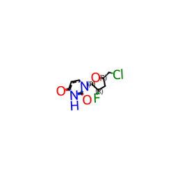 O=c1ccn([C@@H]2O[C@@H](CCl)C[C@H]2F)c(=O)[nH]1